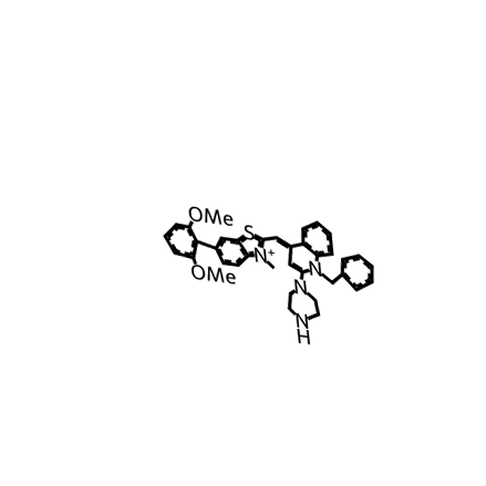 COc1cccc(OC)c1-c1ccc2c(c1)sc(C=C1C=C(N3CCNCC3)N(Cc3ccccc3)c3ccccc31)[n+]2C